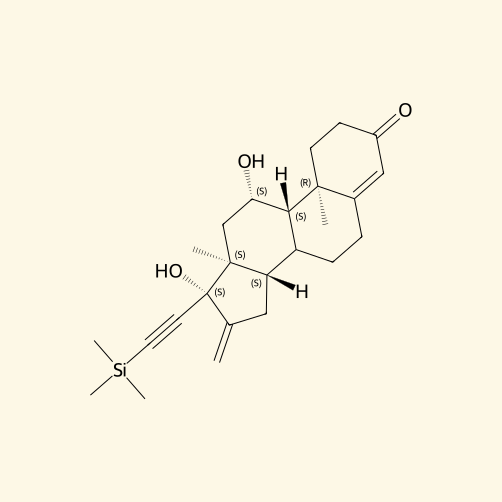 C=C1C[C@H]2C3CCC4=CC(=O)CC[C@]4(C)[C@H]3[C@@H](O)C[C@]2(C)[C@]1(O)C#C[Si](C)(C)C